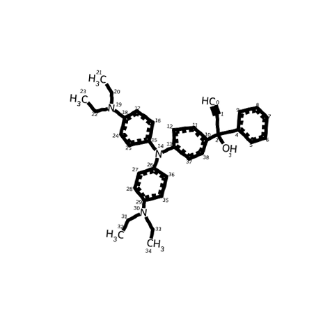 C#CC(O)(c1ccccc1)c1ccc(N(c2ccc(N(CC)CC)cc2)c2ccc(N(CC)CC)cc2)cc1